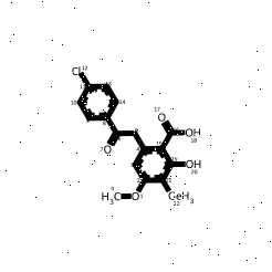 COc1cc(CC(=O)c2ccc(Cl)cc2)c(C(=O)O)c(O)[c]1[GeH3]